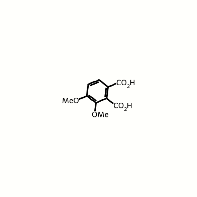 COc1ccc(C(=O)O)c(C(=O)O)c1OC